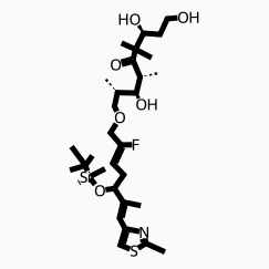 C/C(=C\c1csc(C)n1)C(C/C=C(\F)COC[C@H](C)[C@H](O)[C@@H](C)C(=O)C(C)(C)[C@@H](O)CCO)O[Si](C)(C)C(C)(C)C